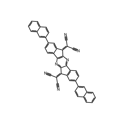 N#CC(C#N)=C1c2cc(-c3ccc4ccccc4c3)ccc2-c2nc3c(nc21)-c1ccc(-c2ccc4ccccc4c2)cc1C3=C(C#N)C#N